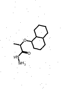 CC(OC1CCCC2CCCCC21)C(=O)NN